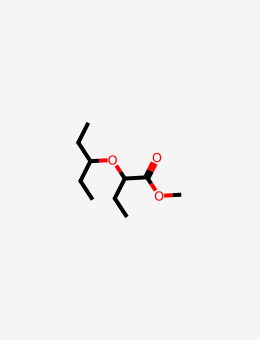 CCC(CC)OC(CC)C(=O)OC